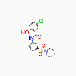 O=C(Nc1cccc(S(=O)(=O)N2CCCCC2)c1)c1cc(Cl)ccc1O